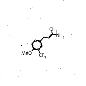 COc1ccc(C/C=C(\C)N)cc1C(F)(F)F